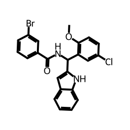 COc1ccc(Cl)cc1C(NC(=O)c1cccc(Br)c1)c1cc2ccccc2[nH]1